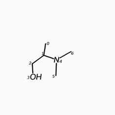 CC(CO)N(C)C